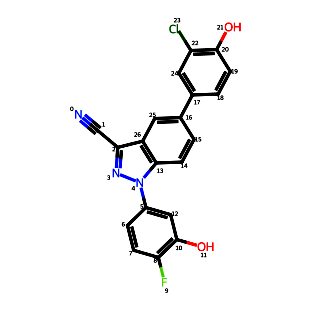 N#Cc1nn(-c2ccc(F)c(O)c2)c2ccc(-c3ccc(O)c(Cl)c3)cc12